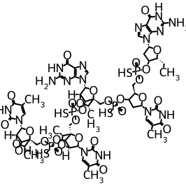 CC[C@H]1O[C@@H](n2cnc3c(=O)[nH]c(N)nc32)CC1OP(=O)(S)OC[C@H]1O[C@@H](n2cc(C)c(=O)[nH]c2=O)CC1OP(=O)(S)OC[C@@]12O[C@@H](n3cnc4c(=O)[nH]c(N)nc43)[C@@H](O[C@H]1C)C2OP(=O)(S)OC[C@@]12O[C@@H](n3cc(C)c(=O)[nH]c3=O)[C@@H](O[C@H]1C)C2OP(=O)(S)OC[C@@]12O[C@@H](n3cc(C)c(=O)[nH]c3=O)[C@@H](O[C@H]1C)C2O